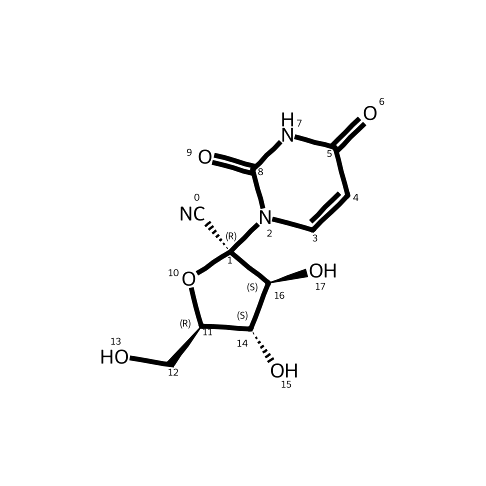 N#C[C@@]1(n2ccc(=O)[nH]c2=O)O[C@H](CO)[C@@H](O)[C@@H]1O